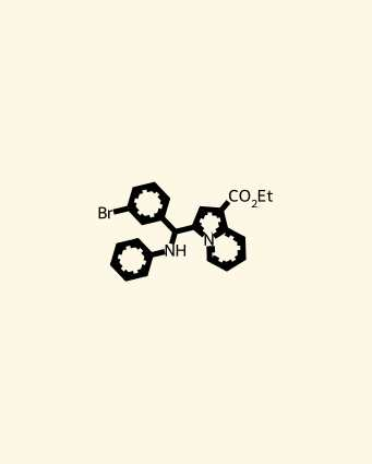 CCOC(=O)c1cc(C(Nc2ccccc2)c2cccc(Br)c2)n2ccccc12